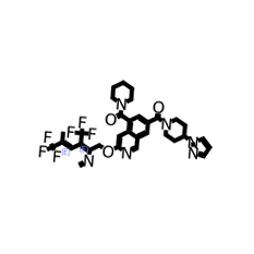 C=N/C(COc1cc2c(C(=O)N3CCCCC3)cc(C(=O)N3CCC(n4cccn4)CC3)cc2cn1)=C(\C=C(/C)C(F)(F)F)C(F)(F)F